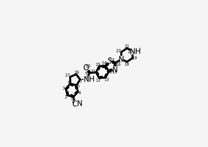 N#Cc1ccc2c(c1)[C@@H](NC(=O)c1ccc3nc(N4CCNCC4)sc3c1)CC2